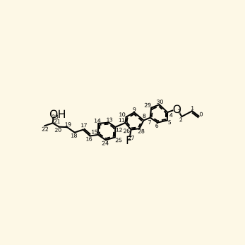 C=CCOc1ccc(-c2ccc(-c3ccc(/C=C/CCCC(C)O)cc3)c(F)c2)cc1